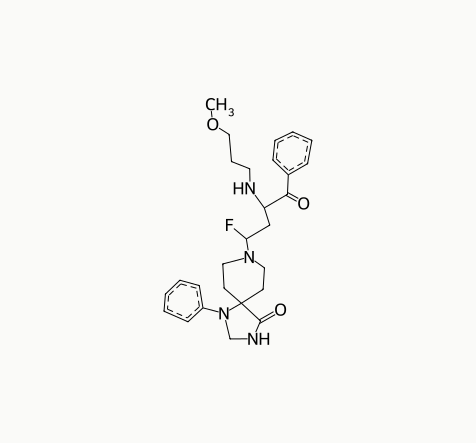 COCCCNC(CC(F)N1CCC2(CC1)C(=O)NCN2c1ccccc1)C(=O)c1ccccc1